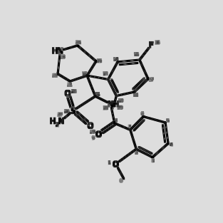 COc1ccccc1C(=O)NC(C1(c2cc(F)ccc2F)CCNCC1)S(N)(=O)=O